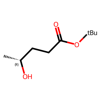 C[C@@H](O)CCC(=O)OC(C)(C)C